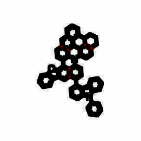 c1ccc(-n2c3ccccc3c3c(-c4ccc(N(c5ccccc5-c5cccc6c5oc5ccccc56)c5ccccc5-c5cccc6cccc(C7CCCCC7)c56)cc4)cccc32)cc1